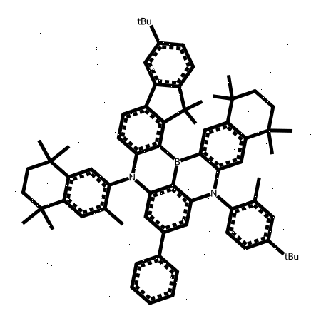 Cc1cc(C(C)(C)C)ccc1N1c2cc3c(cc2B2c4c1cc(-c1ccccc1)cc4N(c1cc4c(cc1C)C(C)(C)CCC4(C)C)c1ccc4c(c12)C(C)(C)c1ccc(C(C)(C)C)cc1-4)C(C)(C)CCC3(C)C